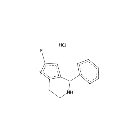 Cl.Fc1cc2c(s1)CCNC2c1ccccc1